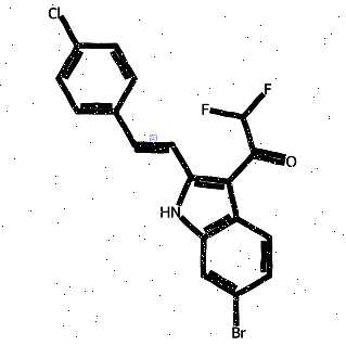 O=C(c1c(/C=C/c2ccc(Cl)cc2)[nH]c2cc(Br)ccc12)C(F)F